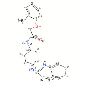 Cc1ccccc1OCC(=O)NC1CCC(Nc2ccc3ccccc3n2)CC1